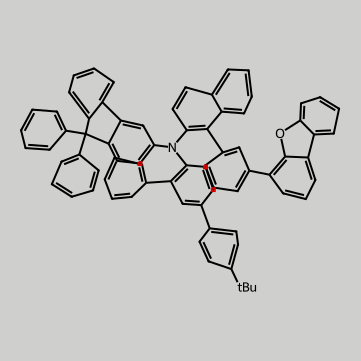 CC(C)(C)c1ccc(-c2ccc(N(c3ccc4c(c3)-c3ccccc3C4(c3ccccc3)c3ccccc3)c3ccc4ccccc4c3-c3cccc(-c4cccc5c4oc4ccccc45)c3)c(-c3ccccc3)c2)cc1